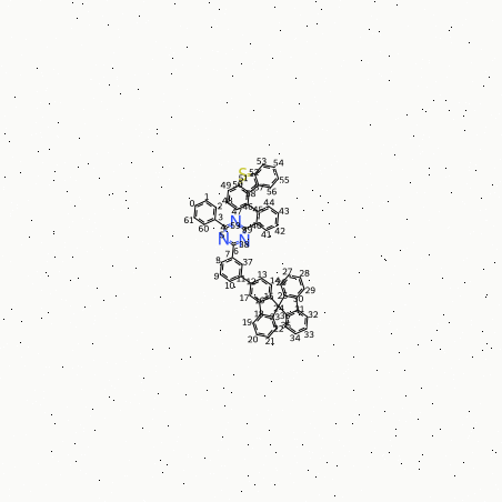 c1ccc(-c2nc(-c3cccc(-c4ccc5c(c4)-c4ccccc4C54c5ccccc5-c5ccccc54)c3)nc(-c3ccccc3-c3cccc4sc5ccccc5c34)n2)cc1